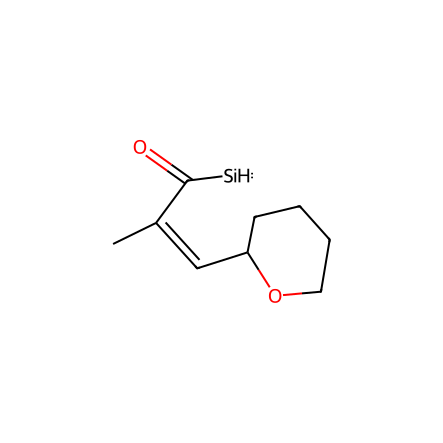 CC(=CC1CCCCO1)C(=O)[SiH]